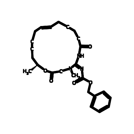 C[C@@H]1CCCC/C=C/CCCCC(=O)N/C(=N/C(=O)OCc2ccccc2)N(C)CC(=O)O1